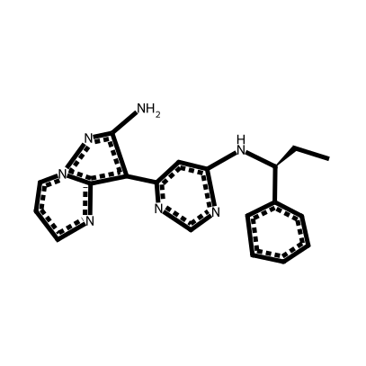 CC[C@H](Nc1cc(-c2c(N)nn3cccnc23)ncn1)c1ccccc1